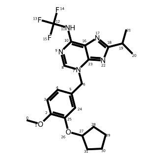 COc1ccc(Cn2cnc(NC(F)(F)F)c3nc(C(C)C)nc2-3)cc1OC1CCCC1